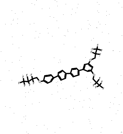 FC(F)(F)C(F)(F)COc1cc(OCC(F)(F)C(F)(F)F)cc(-c2ccc(-c3ccc(-c4ccc(OCC(F)(F)C(F)(F)C(F)(F)F)cc4)cc3)cc2)c1